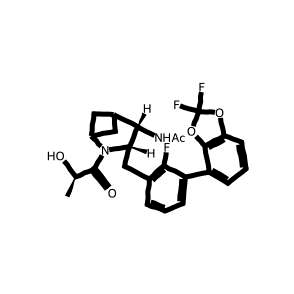 CC(=O)N[C@H]1C2CC(C2)N(C(=O)[C@@H](C)O)[C@H]1Cc1cccc(-c2cccc3c2OC(F)(F)O3)c1F